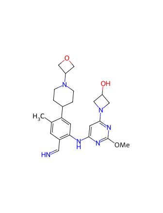 COc1nc(Nc2cc(C3CCN(C4COC4)CC3)c(C)cc2C=N)cc(N2CC(O)C2)n1